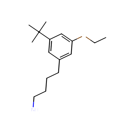 CCSc1cc(CCCCN)cc(C(C)(C)C)c1